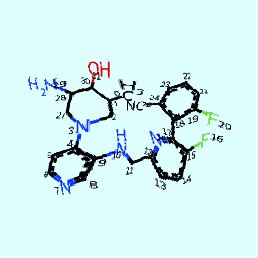 CC1CN(c2ccncc2NCc2ccc(F)c(-c3c(F)cccc3C#N)n2)CC(N)C1O